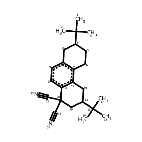 CC(C)(C)C1CCc2c(ccc3c2CC(C(C)(C)C)CC3(C#N)C#N)C1